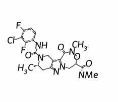 CNC(=O)C1Cn2nc3c(c2C(=O)N(C)O1)CN(C(=O)Nc1ccc(F)c(Cl)c1F)[C@H](C)C3